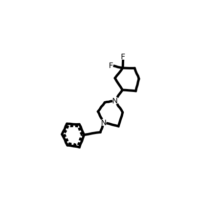 FC1(F)CCCC(N2CCN(Cc3ccccc3)CC2)C1